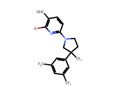 O=Cc1ccc(N2CCC(c3cc(C(F)(F)F)cc(C(F)(F)F)c3)(C(F)(F)F)C2)nc1Br